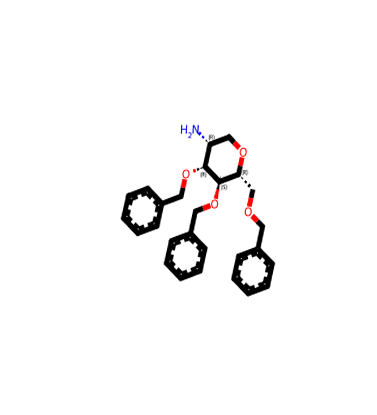 N[C@@H]1[CH]O[C@H](COCc2ccccc2)[C@@H](OCc2ccccc2)[C@@H]1OCc1ccccc1